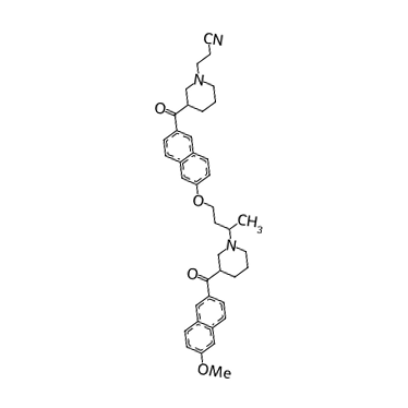 COc1ccc2cc(C(=O)C3CCCN(C(C)CCOc4ccc5cc(C(=O)C6CCCN(CCC#N)C6)ccc5c4)C3)ccc2c1